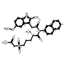 COc1ccc2[nH]c(C)c(CC(=O)N(C(=O)[C@@H](N)CCCS(=O)(=O)CC(C)=O)c3ccc4ccccc4c3)c2c1